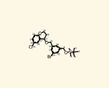 CC(C)(C)[Si](C)(C)OCc1cc(Br)cc(COC2CCOc3ccc(Cl)cc32)c1